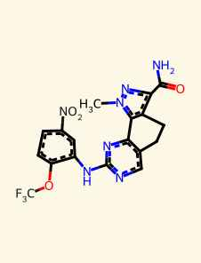 Cn1nc(C(N)=O)c2c1-c1nc(Nc3cc([N+](=O)[O-])ccc3OC(F)(F)F)ncc1CC2